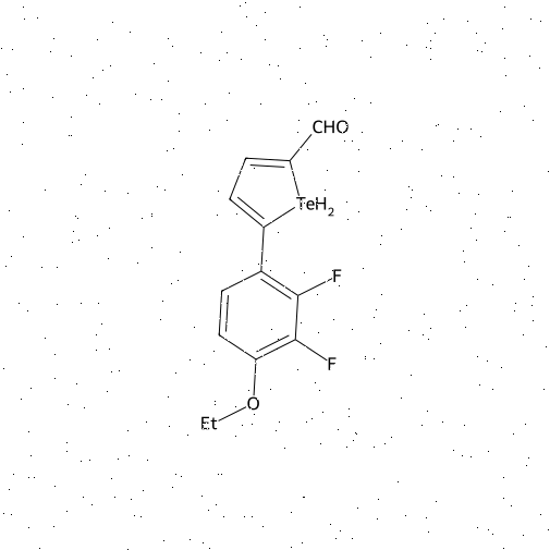 CCOc1ccc(C2=CC=C(C=O)[TeH2]2)c(F)c1F